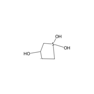 OC1[CH]CS(O)(O)C1